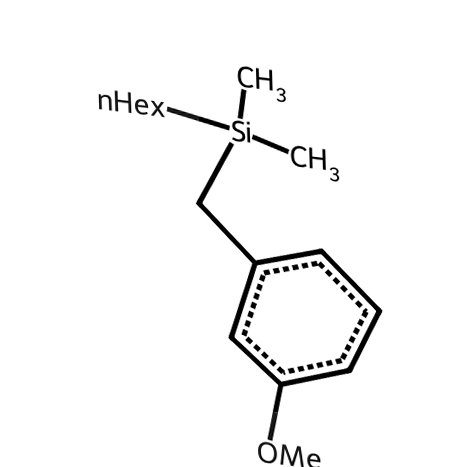 CCCCCC[Si](C)(C)Cc1cccc(OC)c1